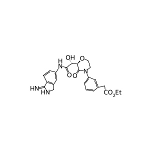 CCOC(=O)Cc1cccc(N2CCO[C@H]([C@@H](O)C(=O)Nc3ccc4c(c3)CNC4=N)C2=O)c1